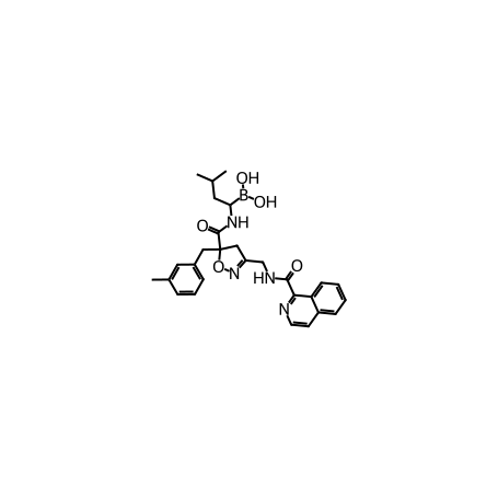 Cc1cccc(CC2(C(=O)NC(CC(C)C)B(O)O)CC(CNC(=O)c3nccc4ccccc34)=NO2)c1